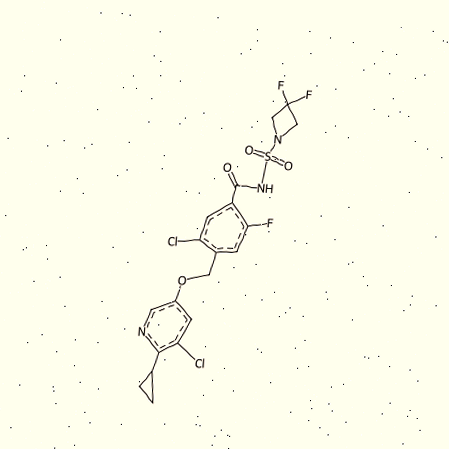 O=C(NS(=O)(=O)N1CC(F)(F)C1)c1cc(Cl)c(COc2cnc(C3CC3)c(Cl)c2)cc1F